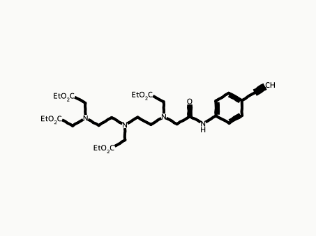 C#Cc1ccc(NC(=O)CN(CCN(CCN(CC(=O)OCC)CC(=O)OCC)CC(=O)OCC)CC(=O)OCC)cc1